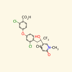 C[C@H](c1ccc(Oc2ccc(C(=O)O)c(Cl)c2)cc1Cl)[C@@](O)(c1ccc(=O)n(C)c1)C(F)(F)F